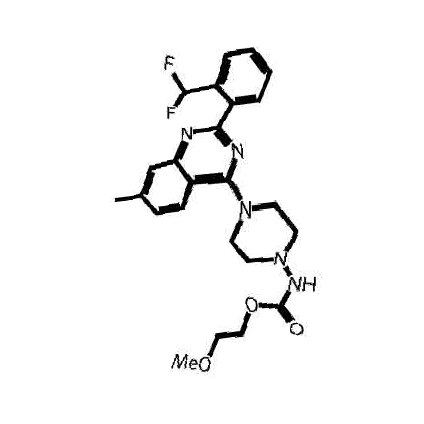 COCCOC(=O)NN1CCN(c2nc(-c3ccccc3C(F)F)nc3cc(C)ccc23)CC1